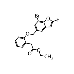 CCOC(=O)Cc1ccccc1OCc1cc(Br)c2oc(F)cc2c1